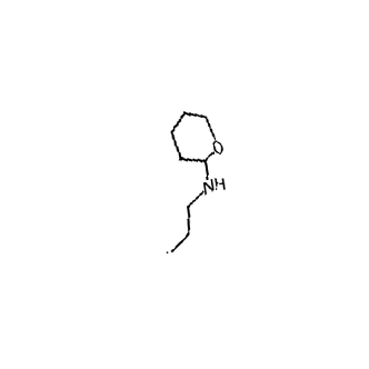 [CH2]CCNC1CCCCO1